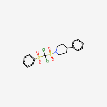 O=S(=O)(c1ccccc1)C(Cl)(Cl)S(=O)(=O)N1CCC(c2ccccc2)CC1